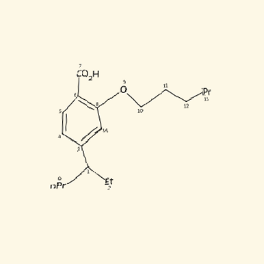 CCCC(CC)c1ccc(C(=O)O)c(OCCCC(C)C)c1